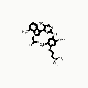 CCC(=O)Cn1cc(-c2nc(Nc3cc([N+](=O)[O-])c(NCCN(C)C)cc3OC)ncc2C#N)c2cccc(C)c21